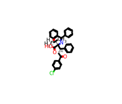 CC(C)(C)[C@@](N=C(c1ccccc1)c1ccccc1)(C(=O)O)[C@@H](CC(=O)c1ccc(Cl)cc1)c1ccccc1